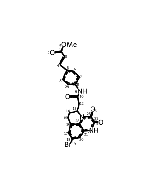 COC(=O)/C=C/c1ccc(NC(=O)CC2CCc3cc(Br)cc4[nH]c(=O)c(=O)n2c34)cc1